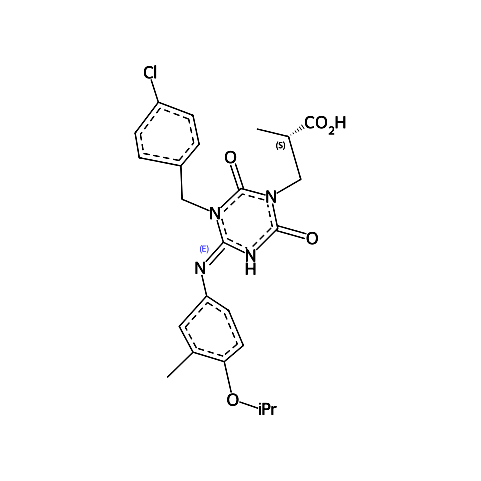 Cc1cc(/N=c2\[nH]c(=O)n(C[C@H](C)C(=O)O)c(=O)n2Cc2ccc(Cl)cc2)ccc1OC(C)C